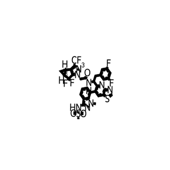 Cn1nc(NS(C)(=O)=O)c2cccc(-c3cc4scnc4nc3C(Cc3cc(F)cc(F)c3)NC(=O)Cn3nc(C(F)(F)F)c4c3C(F)(F)[C@@H]3C[C@H]43)c21